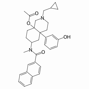 CC(=O)OC12CCC(N(C)C(=O)c3ccc4ccccc4c3)CC1(c1cccc(O)c1)CCN(CC1CC1)C2